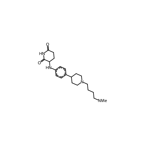 CNCCCCN1CCC(c2ccc(NC3CCC(=O)NC3=O)cc2)CC1